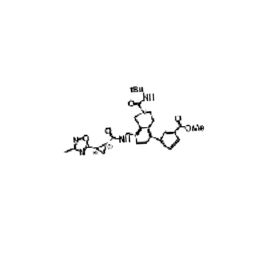 COC(=O)c1cccc(-c2ccc(CNC(=O)[C@@H]3C[C@H]3c3nc(C)no3)c3c2CCN(C(=O)NC(C)(C)C)C3)c1